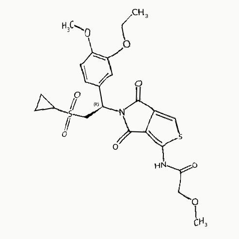 CCOc1cc([C@H](CS(=O)(=O)C2CC2)N2C(=O)c3csc(NC(=O)COC)c3C2=O)ccc1OC